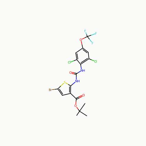 CC(C)(C)OC(=O)c1cc(Br)sc1NC(=O)Nc1c(Cl)cc(OC(F)(F)F)cc1Cl